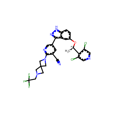 C[C@@H](Oc1ccc2[nH]nc(-c3cnc(N4CC5(CN(CC(F)(F)F)C5)C4)c(C#N)c3)c2c1)c1c(Cl)cncc1Cl